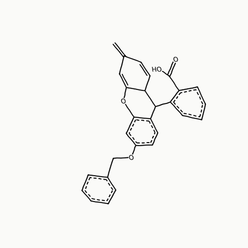 C=C1C=CC2C(=C1)Oc1cc(OCc3ccccc3)ccc1C2c1ccccc1C(=O)O